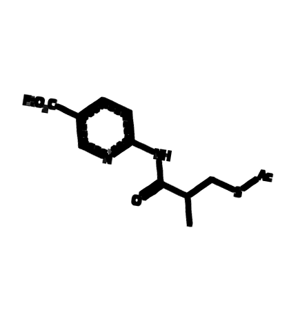 CCOC(=O)c1ccc(NC(=O)C(C)CSC(C)=O)nc1